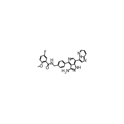 COc1ccc(F)cc1C(=O)NCc1ccc(-c2ncc(-c3cnc4cccnn34)c3[nH]nc(N)c23)cc1